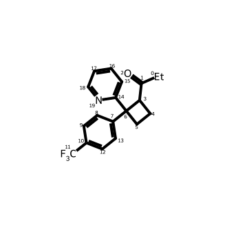 CCC(=O)C1CCC1(c1ccc(C(F)(F)F)cc1)c1ccccn1